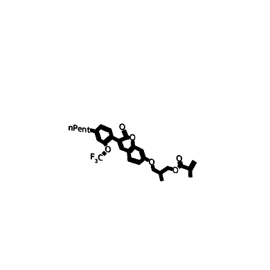 C=C(C)C(=O)OCC(C)COc1ccc2cc(-c3ccc(CCCCC)cc3OC(F)(F)F)c(=O)oc2c1